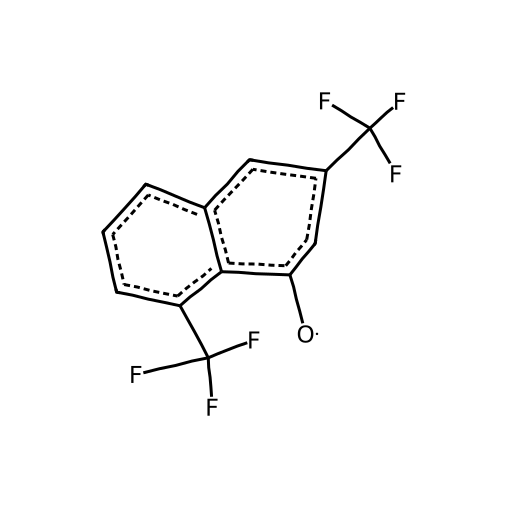 [O]c1cc(C(F)(F)F)cc2cccc(C(F)(F)F)c12